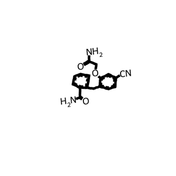 N#Cc1ccc(Cc2ccccc2C(N)=O)c(OCC(N)=O)c1